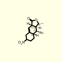 CC(=O)[C@@H]1[C@H]2[C@H](C=C3CC([N+](=O)[O-])CC[C@H]31)C(=O)O[C@@H]2C